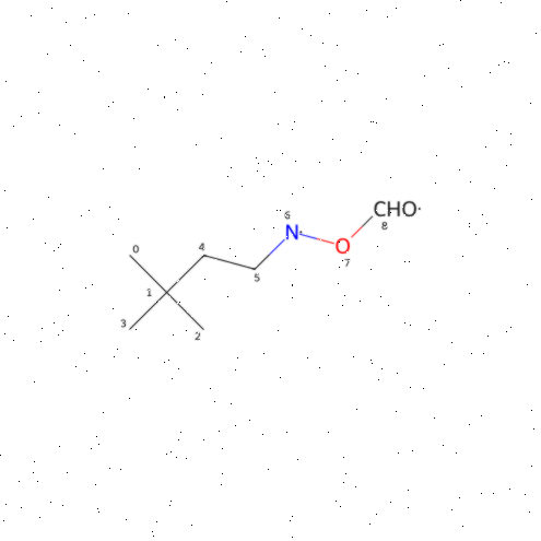 CC(C)(C)CC[N]O[C]=O